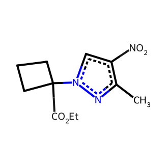 CCOC(=O)C1(n2cc([N+](=O)[O-])c(C)n2)CCC1